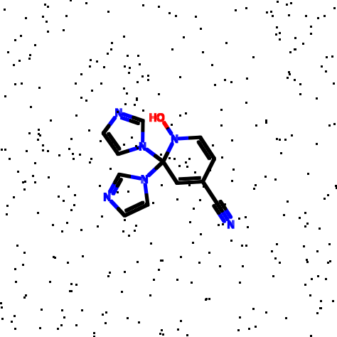 N#CC1=CC(n2ccnc2)(n2ccnc2)N(O)C=C1